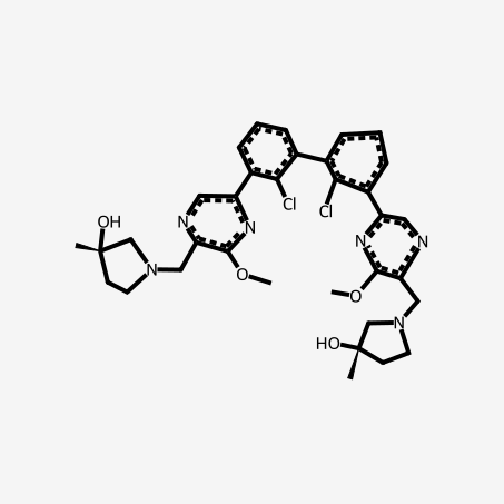 COc1nc(-c2cccc(-c3cccc(-c4cnc(CN5CC[C@](C)(O)C5)c(OC)n4)c3Cl)c2Cl)cnc1CN1CC[C@](C)(O)C1